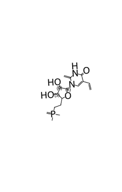 C=CC1=CN([C@@H]2OC(CCP(=C)(C)C)[C@@H](O)[C@H]2O)C(=C)NC1=O